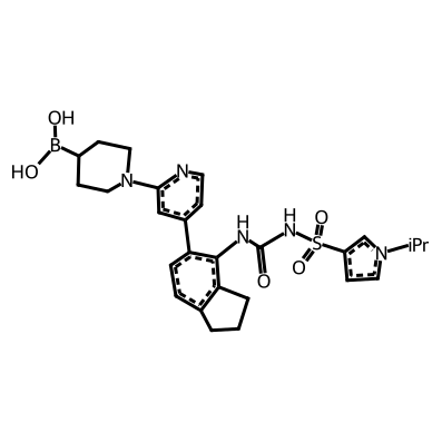 CC(C)n1ccc(S(=O)(=O)NC(=O)Nc2c(-c3ccnc(N4CCC(B(O)O)CC4)c3)ccc3c2CCC3)c1